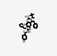 CC(N(C(=O)O)C(Cc1ccccc1)c1ccc2c(c1)nc(NC(=O)c1ccc(Cl)cc1)n2CC1CCCN1)C(C)(C)C